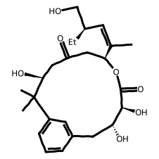 CC[C@H](/C=C(/C)[C@@H]1CC(=O)C[C@H](O)C(C)(C)c2cccc(c2)C[C@@H](O)[C@H](O)C(=O)O1)CO